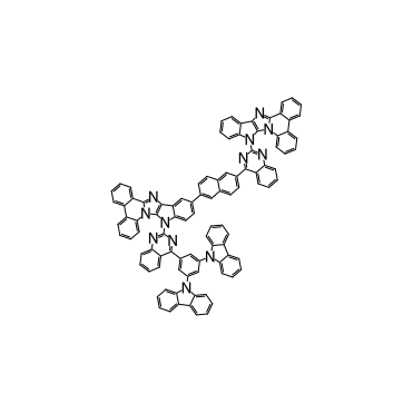 c1ccc2c(-c3ccc4cc(-c5ccc6c(c5)c5nc7c8ccccc8c8ccccc8n7c5n6-c5nc(-c6cc(-n7c8ccccc8c8ccccc87)cc(-n7c8ccccc8c8ccccc87)c6)c6ccccc6n5)ccc4c3)nc(-n3c4ccccc4c4nc5c6ccccc6c6ccccc6n5c43)nc2c1